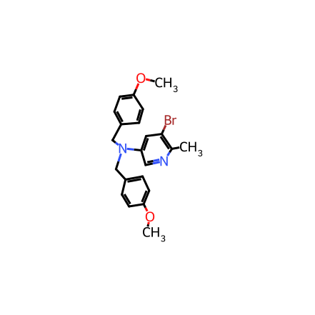 COc1ccc(CN(Cc2ccc(OC)cc2)c2cnc(C)c(Br)c2)cc1